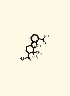 CC1(C)c2[nH]c3c(C(N)=O)cccc3c2CCC1C(N)=O